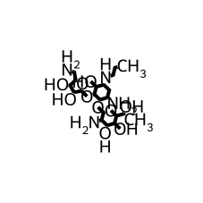 CCCNC1CC(N)C(OC2OC([C@@H](C)O)C(O)C(O)C2N)C(OC2OC(CN)C(O)C2O)C1O